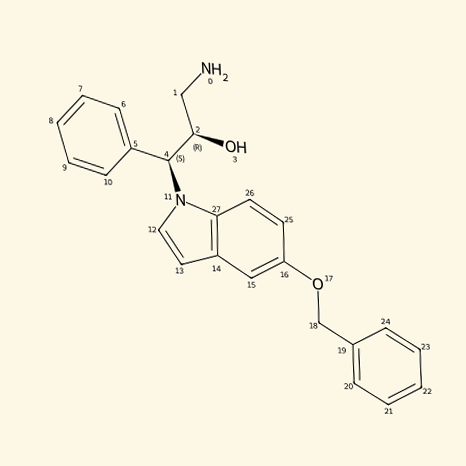 NC[C@@H](O)[C@H](c1ccccc1)n1ccc2cc(OCc3ccccc3)ccc21